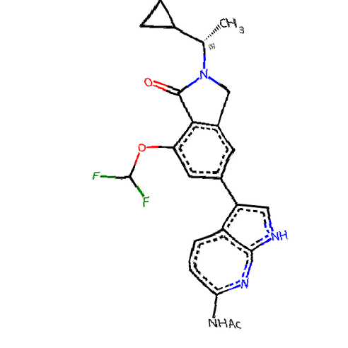 CC(=O)Nc1ccc2c(-c3cc4c(c(OC(F)F)c3)C(=O)N([C@@H](C)C3CC3)C4)c[nH]c2n1